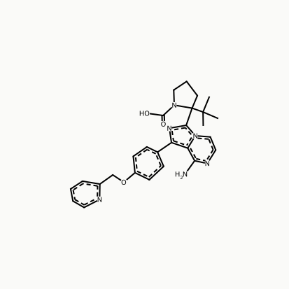 CC(C)(C)C1(c2nc(-c3ccc(OCc4ccccn4)cc3)c3c(N)nccn23)CCCN1C(=O)O